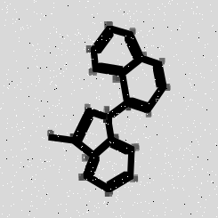 Cc1cn(-c2cccc3ccccc23)c2ccccc12